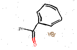 Br.CC(C)C(=O)c1ccccc1